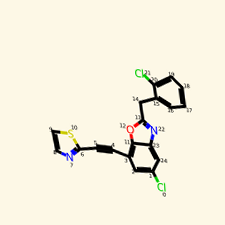 Clc1cc(C#Cc2nccs2)c2oc(Cc3ccccc3Cl)nc2c1